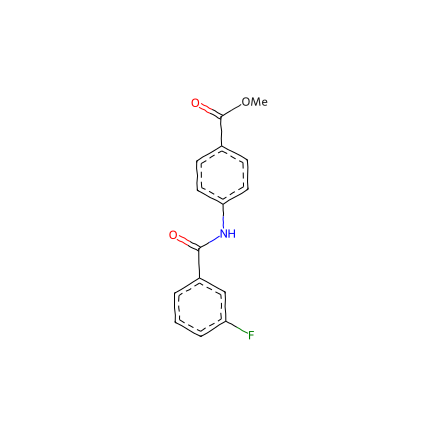 COC(=O)c1ccc(NC(=O)c2cccc(F)c2)cc1